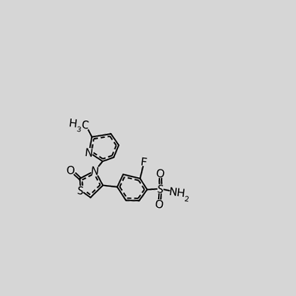 Cc1cccc(-n2c(-c3ccc(S(N)(=O)=O)c(F)c3)csc2=O)n1